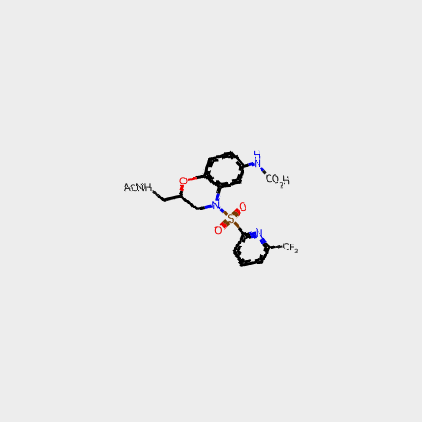 CC(=O)NCC1CN(S(=O)(=O)c2cccc(C(F)(F)F)n2)c2cc(NC(=O)O)ccc2O1